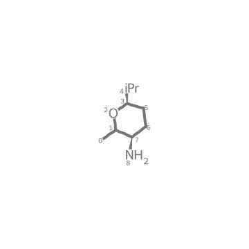 CC1O[C@@H](C(C)C)CC[C@H]1N